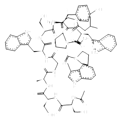 CC(=O)N[C@@H](CO)C(=O)N[C@@H](CO)C(=O)N[C@@H](C)C(=O)N[C@@H](Cc1c[nH]c2ccccc12)C(=O)N[C@@H](Cc1c[nH]c2ccccc12)C(=O)N[C@@H](CO)C(=O)N[C@@H](Cc1ccc(O)cc1)C(=O)N[C@@H](Cc1c[nH]c2ccccc12)C(=O)N1CCC[C@H]1C(=O)N1CCC[C@H]1C(=O)N[C@H](C(=O)N[C@@H](C)C(N)=O)C(C)C